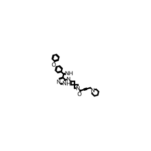 N=C(c1ccc(Oc2ccccc2)cc1)c1cncnc1NC1CC2(C1)CN(C(=O)C#CCN1CCCCC1)C2